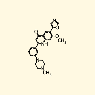 COc1cc2[nH]c(-c3cccc(N4CCN(C)CC4)c3)cc(=O)c2cc1-c1cnco1